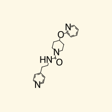 O=C(NCCc1ccncc1)N1CCC(Oc2ccccn2)CC1